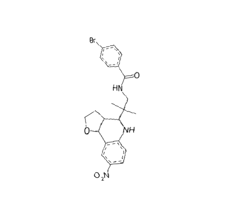 CC(C)(CNC(=O)c1ccc(Br)cc1)C1Nc2ccc([N+](=O)[O-])cc2C2OCCC21